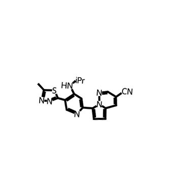 Cc1nnc(-c2cnc(-c3ccc4cc(C#N)cnn34)cc2NC(C)C)s1